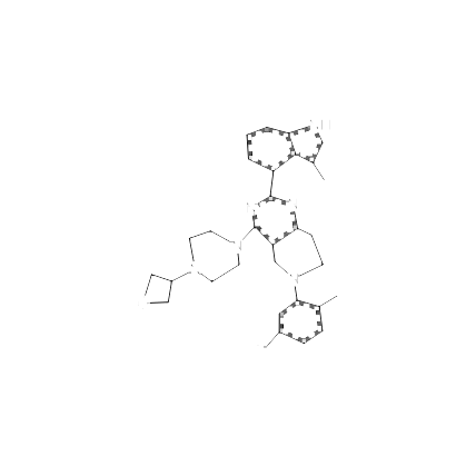 Cc1ccc(Cl)cc1N1CCc2nc(-c3cccc4[nH]cc(C)c34)nc(N3CCN(C4COC4)CC3)c2C1